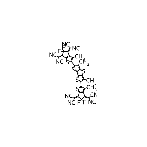 [C-]#[N+]/C(C#N)=C1/c2c(sc(-c3sc4c(sc5c(C)c(-c6sc7c(c6C)/C(=C(/C#N)[N+]#[C-])C(F)(F)/C7=C(\C#N)[N+]#[C-])sc54)c3C)c2C)/C(=C(\C#N)[N+]#[C-])C1(F)F